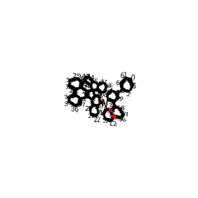 c1ccc(-c2ccc(N(c3ccccc3)c3cc4c(c5ccccc35)-c3c(c5ccccc5c5ccccc35)C43c4ccccc4-c4ccccc43)c(-c3ccccc3)c2)cc1